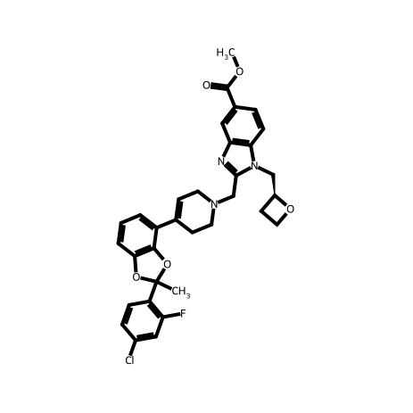 COC(=O)c1ccc2c(c1)nc(CN1CC=C(c3cccc4c3OC(C)(c3ccc(Cl)cc3F)O4)CC1)n2C[C@@H]1CCO1